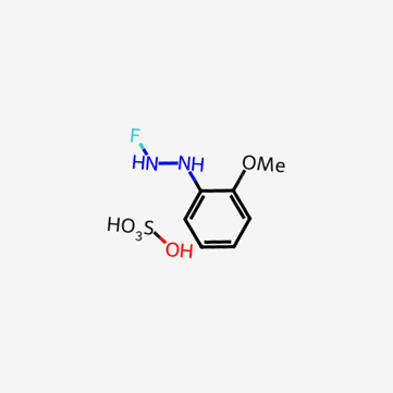 COc1ccccc1NNF.O=S(=O)(O)O